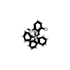 COc1cccc(Cl)c1CP(Br)(c1ccccc1)(c1ccccc1)c1ccccc1